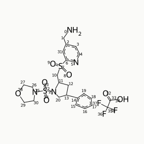 NCc1ccnc(S(=O)(=O)CC2CC(c3ccccc3)CN2S(=O)(=O)N2CCOCC2)c1.O=C(O)C(F)(F)F